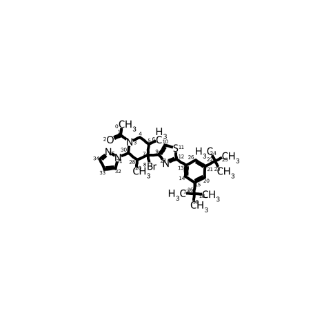 CC(=O)N1CC(C)C(Br)(c2csc(-c3cc(C(C)(C)C)cc(C(C)(C)C)c3)n2)C(C)C1n1cccn1